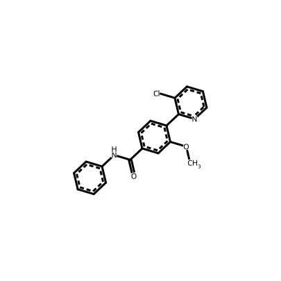 COc1cc(C(=O)Nc2ccccc2)ccc1-c1ncccc1Cl